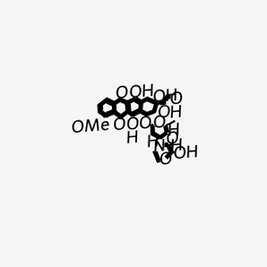 COc1cccc2c1C(=O)c1c(O)c3c(c(O)c1C2=O)C[C@@](O)(C(=O)CO)C[C@@H]3O[C@H]1C[C@H]2[C@H](O[C@@H]3[C@@H](O)OCCN32)[C@H](C)O1